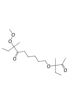 CCC(C)(OCCCCCC(=O)C(C)(CC)OOC)C(C)=O